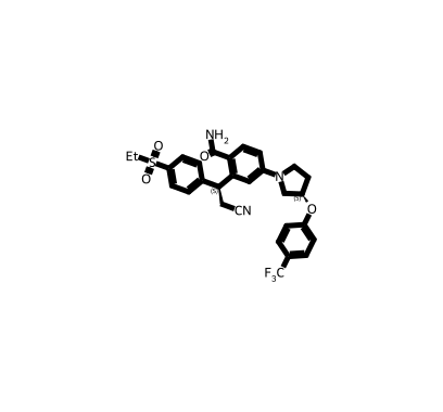 CCS(=O)(=O)c1ccc([C@H](CC#N)c2cc(N3CC[C@H](Oc4ccc(C(F)(F)F)cc4)C3)ccc2C(N)=O)cc1